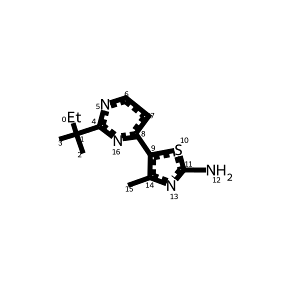 CCC(C)(C)c1nccc(-c2sc(N)nc2C)n1